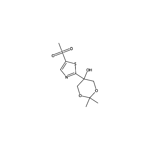 CC1(C)OCC(O)(c2ncc(S(C)(=O)=O)s2)CO1